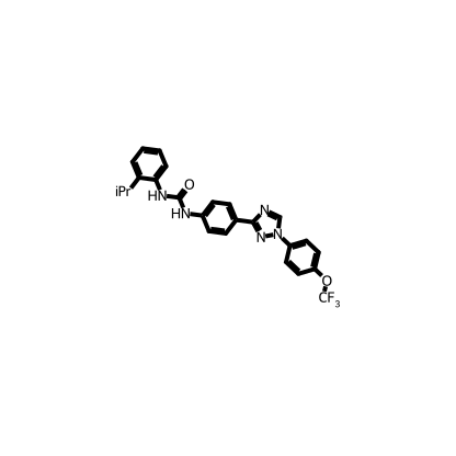 CC(C)c1ccccc1NC(=O)Nc1ccc(-c2ncn(-c3ccc(OC(F)(F)F)cc3)n2)cc1